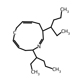 CCCC(CC)C1C=NC(C(CC)CCC)CC=CCCC=CC1